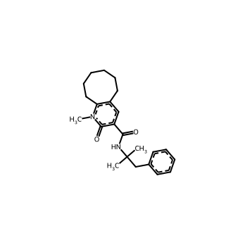 Cn1c2c(cc(C(=O)NC(C)(C)Cc3ccccc3)c1=O)CCCCCC2